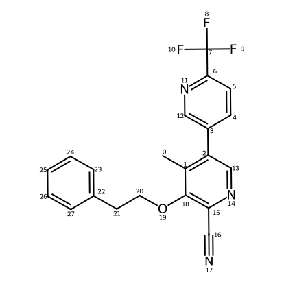 Cc1c(-c2ccc(C(F)(F)F)nc2)cnc(C#N)c1OCCc1ccccc1